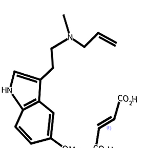 C=CCN(C)CCc1c[nH]c2ccc(OC)cc12.O=C(O)/C=C/C(=O)O